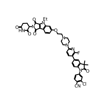 CCn1c2c(c3ccc(OCCN4CCN(c5ccc(-c6ccc7c(c6)C(C)(C)C(=O)N7c6ccc(C#N)c(Cl)c6)c(F)n5)CC4)cc31)C(=O)N(C1CCC(=O)NC1=O)C2=O